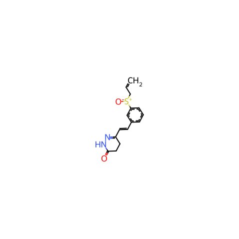 C=CC[S+]([O-])c1cccc(C=CC2=NNC(=O)CC2)c1